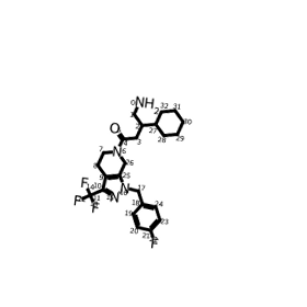 NCC(CC(=O)N1CCc2c(C(F)(F)F)nn(Cc3ccc(F)cc3)c2C1)C1CCCCC1